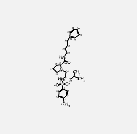 Cc1ccc(S(=O)(=O)N[C@@H](CC(C)C)CN2CCC[C@H]2C(=O)NCCCCc2ccccc2)cc1